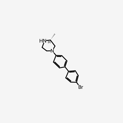 C[C@@H]1CN(c2ccc(-c3ccc(Br)cc3)cc2)CCN1